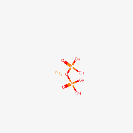 O=P(O)(O)OP(=O)(O)O.P